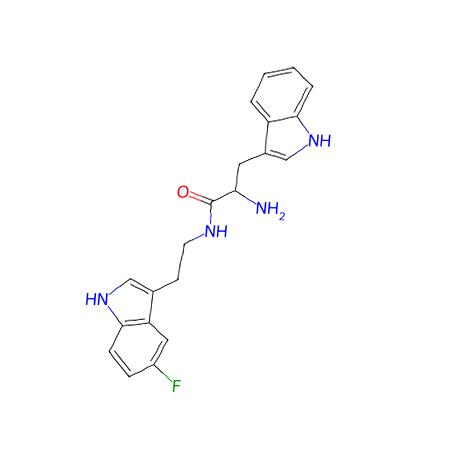 NC(Cc1c[nH]c2ccccc12)C(=O)NCCc1c[nH]c2ccc(F)cc12